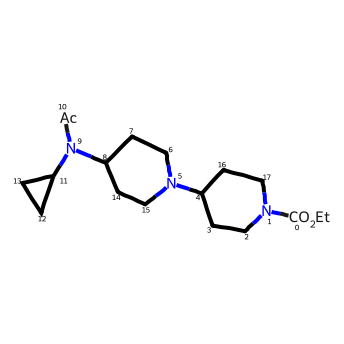 CCOC(=O)N1CCC(N2CCC(N(C(C)=O)C3CC3)CC2)CC1